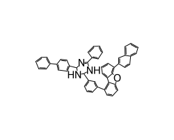 c1ccc(C2=NC(c3ccc(-c4ccccc4)cc3)NC(c3cccc(-c4cccc5oc6c(-c7ccc8ccccc8c7)cccc6c45)c3)N2)cc1